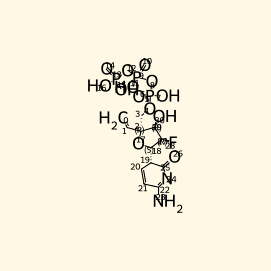 C=C[C@]1(COP(=O)(O)OP(=O)(O)OP(=O)(O)O)O[C@@H](C2C=CC(N)=NC2=O)[C@H](F)[C@@H]1O